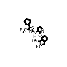 CCN1Cc2cccc(Oc3ncccc3Nc3nc(C(F)(F)F)c(-c4ccccc4)s3)c2C1C(C)(C)C